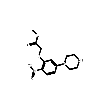 COC(=O)COc1cc(N2CCNCC2)ccc1[N+](=O)[O-]